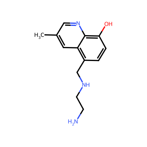 Cc1cnc2c(O)ccc(CNCCN)c2c1